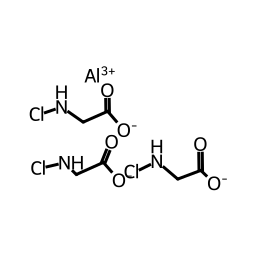 O=C([O-])CNCl.O=C([O-])CNCl.O=C([O-])CNCl.[Al+3]